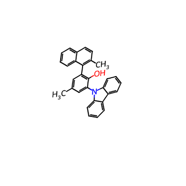 Cc1cc(-c2c(C)ccc3ccccc23)c(O)c(-n2c3ccccc3c3ccccc32)c1